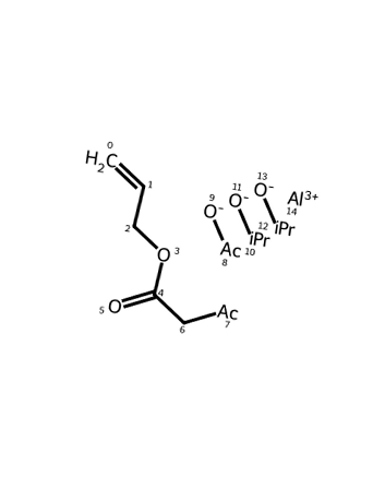 C=CCOC(=O)CC(C)=O.CC(=O)[O-].CC(C)[O-].CC(C)[O-].[Al+3]